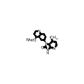 COc1ccnc2ccc(-n3c(=O)[nH]c4nccc(C)c43)cc12